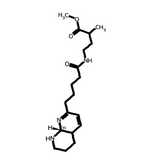 COC(=O)C(C)CCNC(=O)CCCCC1=N[C@H]2NCCCC2C=C1